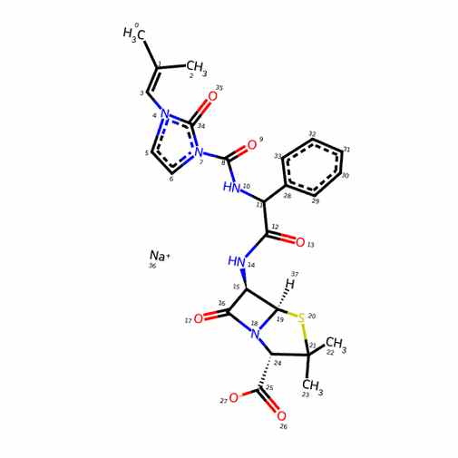 CC(C)=Cn1ccn(C(=O)NC(C(=O)N[C@@H]2C(=O)N3[C@@H]2SC(C)(C)[C@@H]3C(=O)[O-])c2ccccc2)c1=O.[Na+]